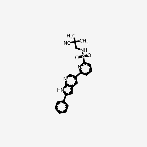 CC(C)(C#N)CNS(=O)(=O)c1cccc(-c2cnc3[nH]c(-c4ccccc4)cc3c2)n1